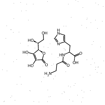 NCCC(=O)NC(Cc1c[nH]cn1)C(=O)O.O=C1O[C@H]([C@@H](O)CO)C(O)=C1O